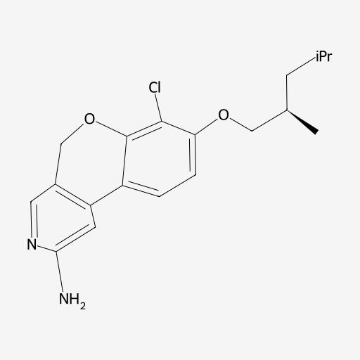 CC(C)C[C@@H](C)COc1ccc2c(c1Cl)OCc1cnc(N)cc1-2